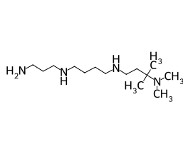 CN(C)C(C)(C)CCNCCCCNCCCN